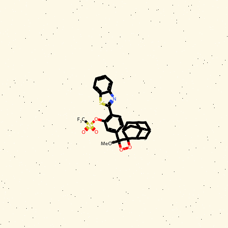 COC1(c2ccc(-c3nc4ccccc4s3)c(OS(=O)(=O)C(F)(F)F)c2)OOC12C1CC3CC(C1)CC2C3